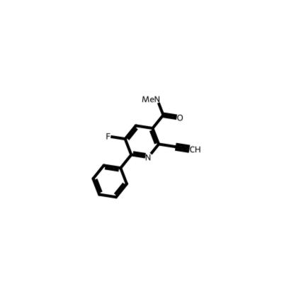 C#Cc1nc(-c2ccccc2)c(F)cc1C(=O)NC